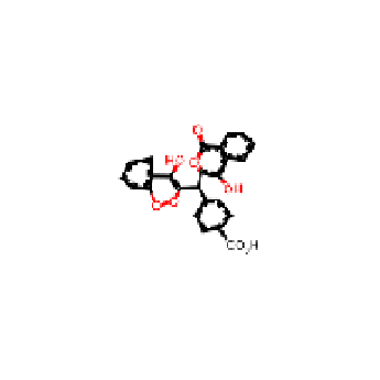 O=C(O)c1ccc(C(C2=C(O)c3ccccc3OO2)c2oc(=O)c3ccccc3c2O)cc1